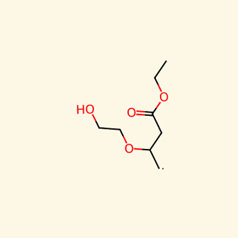 [CH2]C(CC(=O)OCC)OCCO